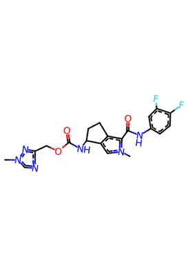 Cn1cnc(COC(=O)NC2CCc3c2cn(C)c3C(=O)Nc2ccc(F)c(F)c2)n1